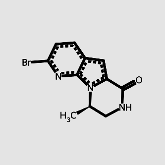 C[C@@H]1CNC(=O)c2cc3ccc(Br)nc3n21